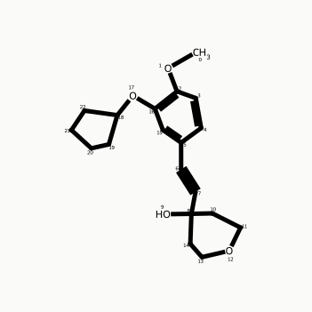 COc1ccc(C#CC2(O)CCOCC2)cc1OC1CCCC1